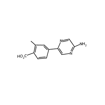 Cc1cc(-c2cnc(N)cn2)ccc1C(=O)O